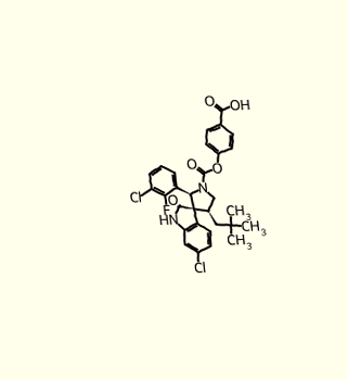 CC(C)(C)C[C@@H]1CN(C(=O)Oc2ccc(C(=O)O)cc2)[C@H](c2cccc(Cl)c2F)[C@]12C(=O)Nc1cc(Cl)ccc12